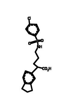 O=C(O)C(CCCNS(=O)(=O)c1ccc(Cl)cc1)c1ccc2c(c1)CCC2